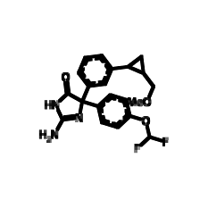 COCC1CC1c1cccc(C2(c3ccc(OC(F)F)cc3)N=C(N)NC2=O)c1